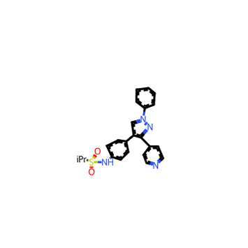 CC(C)S(=O)(=O)Nc1ccc(-c2cn(-c3ccccc3)nc2-c2ccncc2)cc1